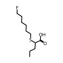 CCCC(SCCCCCCF)C(=O)O